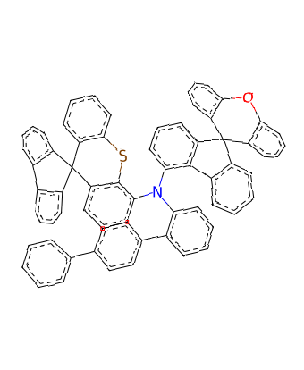 c1ccc(-c2ccc(-c3ccccc3N(c3cccc4c3Sc3ccccc3C43c4ccccc4-c4ccccc43)c3cccc4c3-c3ccccc3C43c4ccccc4Oc4ccccc43)cc2)cc1